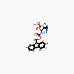 CN(C(=O)O)C1(CNC(=O)OCC2c3ccccc3-c3ccccc32)CC1